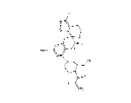 C=C(F)C(=O)N1CCN(c2nc(OC)nc3c2NC(=O)C2(C3)OCCc3c(Cl)cccc32)CC1CC#N